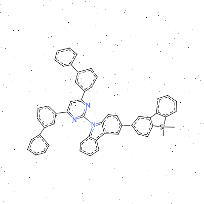 C[Si]1(C)c2ccccc2-c2cc(-c3ccc4c(c3)c3ccccc3n4-c3nc(-c4cccc(-c5ccccc5)c4)cc(-c4cccc(-c5ccccc5)c4)n3)ccc21